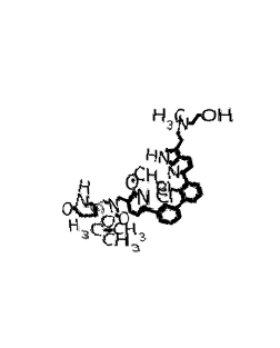 COc1nc(-c2cccc(-c3cccc(-c4ccc5c(CCN(C)CCO)c[nH]c5n4)c3Cl)c2Cl)ccc1CN(C[C@@H]1CCC(=O)N1)C(=O)OC(C)(C)C